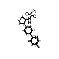 CC(C)S(=O)(=O)N[C@@H]1COC[C@@H]1c1ccc(-c2ccc(F)cn2)cc1